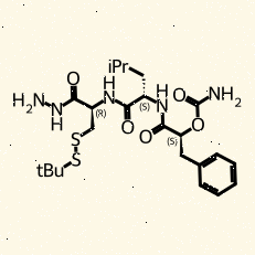 CC(C)C[C@H](NC(=O)[C@H](Cc1ccccc1)OC(N)=O)C(=O)N[C@@H](CSSC(C)(C)C)C(=O)NN